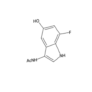 CC(=O)Nc1c[nH]c2c(F)cc(O)cc12